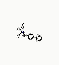 CCOC(=O)/C(C#N)=N/Nc1ccc(-c2ncccn2)cc1